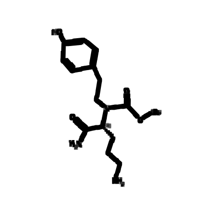 CC(C)(C)OC(=O)N(CCc1ccc(O)cc1)[C@H](CCCN)C(N)=O